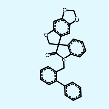 O=C1N(Cc2ccccc2-c2ccccc2)c2ccccc2C12COc1cc3c(cc12)OCO3